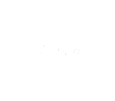 CC(C)N(CC(=O)NCCCCC(N)B(O)O)C(=O)CCc1ccccc1.Cl